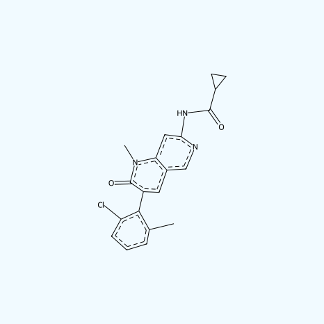 Cc1cccc(Cl)c1-c1cc2cnc(NC(=O)C3CC3)cc2n(C)c1=O